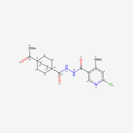 CNc1cc(Cl)ncc1C(=O)NNC(=O)C12CCC(C(=O)OC)(CC1)CC2